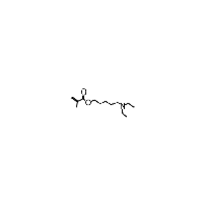 C=C(C)C(=O)OCCCCCN(CC)CC